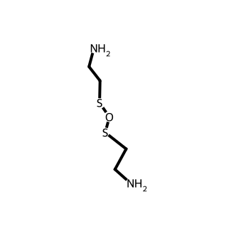 NCCSOSCCN